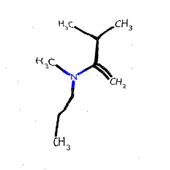 C=C(C(C)C)N(C)CCC